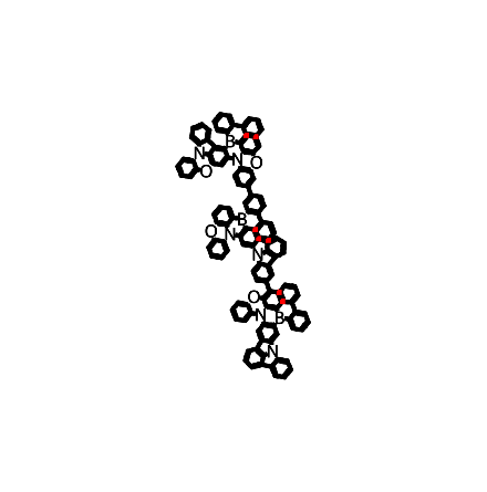 c1ccc(-c2ccc(-c3ccc4c(c3)Oc3cccc5c3N4c3cc4c6c(c3B5c3ccccc3-c3ccccc3)c3ccccc3n6-c3ccccc3O4)cc2B2c3cc4c5cccc6c7cc(-c8ccc9c%10c8Oc8ccccc8N%10c8cc%10c%11cccc%12c%13ccccc%13n(c%10cc8B9c8ccccc8-c8ccccc8)c%12%11)ccc7n(c4cc3N3c4ccccc4Oc4cccc2c43)c65)cc1